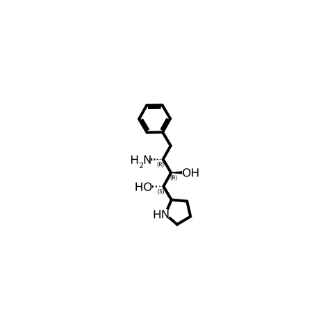 N[C@H](Cc1ccccc1)[C@@H](O)[C@@H](O)C1CCCN1